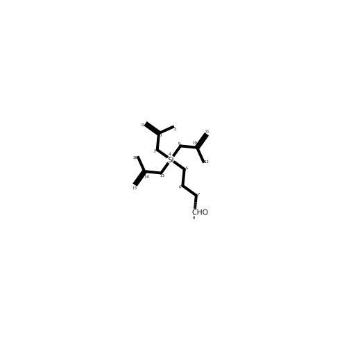 C=C(C)C[Si](CCCC=O)(CC(=C)C)CC(=C)C